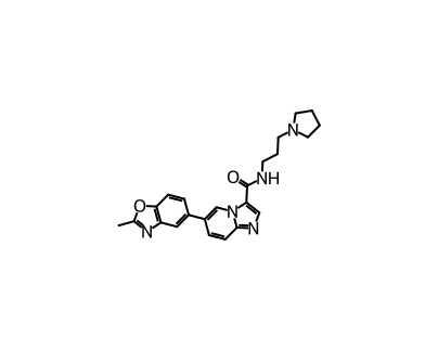 Cc1nc2cc(-c3ccc4ncc(C(=O)NCCCN5CCCC5)n4c3)ccc2o1